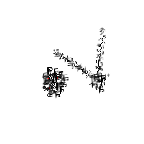 CCCCCCCCCCCCCCCCCC[NH+](CCCCCCCCCCCCCCCCCC)c1c(F)cc(F)cc1F.Oc1ccccc1[B-](c1c(F)c(F)c(F)c(F)c1F)(c1c(F)c(F)c(F)c(F)c1F)c1c(F)c(F)c(F)c(F)c1F